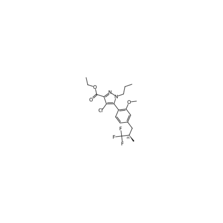 CCCn1nc(C(=O)OCC)c(Cl)c1-c1ccc(C[C@@H](C)C(F)(F)F)cc1OC